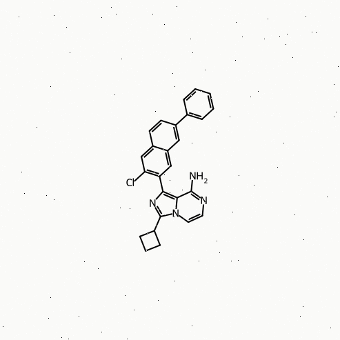 Nc1nccn2c(C3CCC3)nc(-c3cc4cc(-c5ccccc5)ccc4cc3Cl)c12